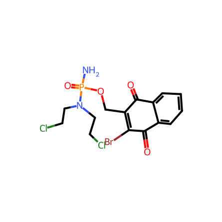 NP(=O)(OCC1=C(Br)C(=O)c2ccccc2C1=O)N(CCCl)CCCl